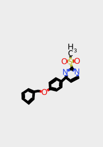 CS(=O)(=O)c1nccc(-c2ccc(OCc3ccccc3)cc2)n1